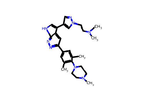 Cc1cc(-c2cc3c(-c4cnn(CCN(C)C)c4)c[nH]c3nn2)cc(C)c1N1CCN(C)CC1